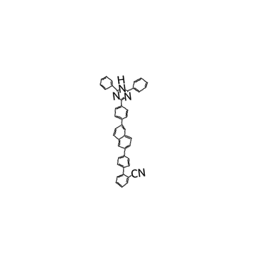 N#Cc1ccccc1-c1ccc(-c2ccc3cc(-c4ccc(C5=NC(c6ccccc6)NC(c6ccccc6)=N5)cc4)ccc3c2)cc1